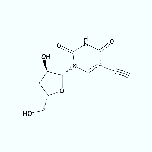 C#Cc1cn([C@@H]2O[C@H](CO)C[C@H]2O)c(=O)[nH]c1=O